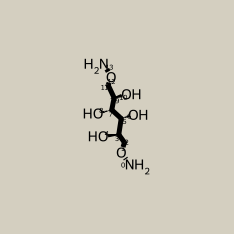 NOC[C@@H](O)[C@@H](O)[C@H](O)[C@H](O)CON